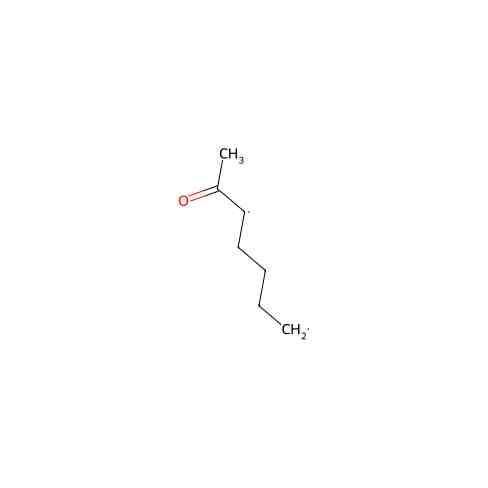 [CH2]CCC[CH]C(C)=O